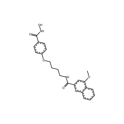 COc1cc(C(=O)NCCCCOc2ccc(C(=O)NO)cc2)nc2ccccc12